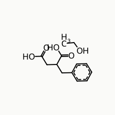 CCO.O=C(O)CC(Cc1ccccc1)C(=O)O